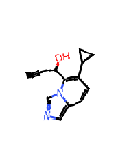 C#CC(O)c1c(C2CC2)ccc2cncn12